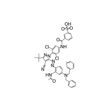 CC(=O)Nc1cc(N(Cc2ccccc2)Cc2ccccc2)ccc1/N=N/c1c(C#N)c(C(C)(C)C)nn1-c1c(Cl)cc(NC(=O)c2cccc(S(=O)(=O)O)c2)cc1Cl